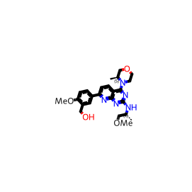 COC[C@@H](C)Nc1nc(N2CCOC[C@@H]2C)c2ccc(-c3ccc(OC)c(CO)c3)nc2n1